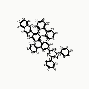 c1ccc(-c2nc(-c3ccccc3)nc(-c3ccc(-c4cc(-c5ccccc5-c5ccccc5)c5c(c4)oc4cc6ccccc6cc45)c(-c4ccccc4)c3)n2)cc1